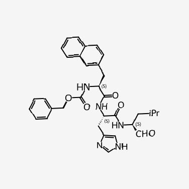 CC(C)C[C@@H](C=O)NC(=O)[C@H](Cc1c[nH]cn1)NC(=O)[C@H](Cc1ccc2ccccc2c1)NC(=O)OCc1ccccc1